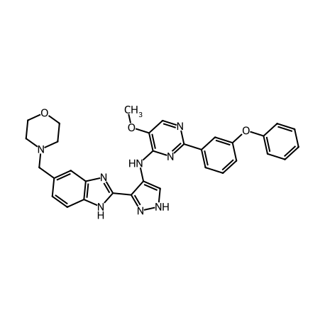 COc1cnc(-c2cccc(Oc3ccccc3)c2)nc1Nc1c[nH]nc1-c1nc2cc(CN3CCOCC3)ccc2[nH]1